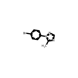 Cc1ncnn1-c1ccc(Br)cc1